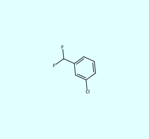 F[C](F)c1cccc(Cl)c1